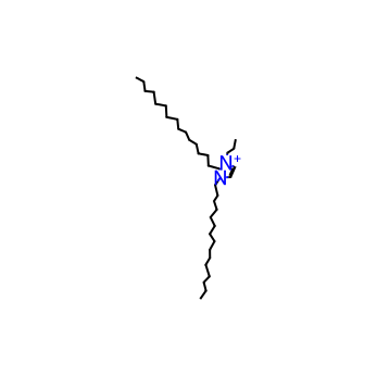 CCCCCCCCCCCCCCCc1n(CCCCCCCCCCCCCCC)cc[n+]1CCC